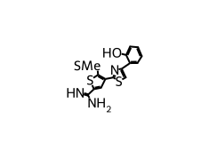 CSc1sc(C(=N)N)cc1-c1nc(-c2ccccc2O)cs1